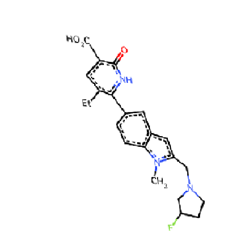 CCc1cc(C(=O)O)c(=O)[nH]c1-c1ccc2c(c1)cc(CN1CCC(F)C1)n2C